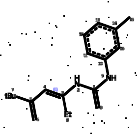 C=C(N/C(=C/C(=C)C(C)(C)C)CC)Nc1cccc(C)c1